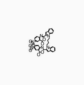 O=c1oc(-c2cc3ccccc3n2CCCCn2c(-c3nc4ccc([N+](=O)[O-])cc4c(=O)o3)cc3ccccc32)nc2ccc([N+](=O)[O-])cc12